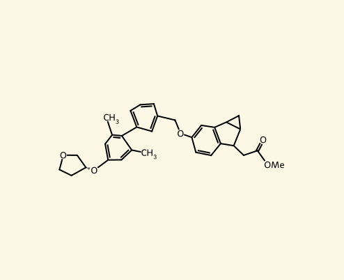 COC(=O)CC1c2ccc(OCc3cccc(-c4c(C)cc(O[C@@H]5CCOC5)cc4C)c3)cc2C2CC12